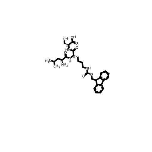 CC(C)C[C@H](N)C(=O)N[C@@H](CCCCNC(=O)OCC1c2ccccc2-c2ccccc21)C(=O)N[C@@H](CO)C(=O)O